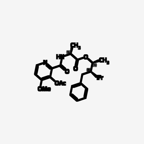 COc1ccnc(C(=O)N[C@@H](C)C(=O)O[C@@H](C)[C@H](Cc2ccccc2)C(C)C)c1OC(C)=O